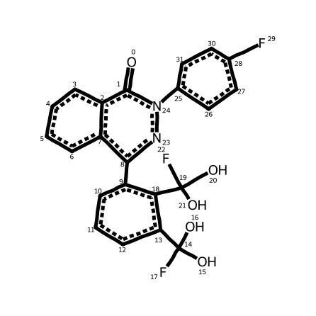 O=c1c2ccccc2c(-c2cccc(C(O)(O)F)c2C(O)(O)F)nn1-c1ccc(F)cc1